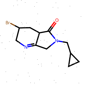 O=C1C2CC(Br)CN=C2CN1CC1CC1